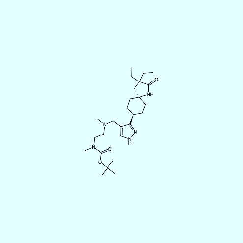 CCC1(CC)C[C@]2(CC[C@H](c3n[nH]cc3CN(C)CCN(C)C(=O)OC(C)(C)C)CC2)NC1=O